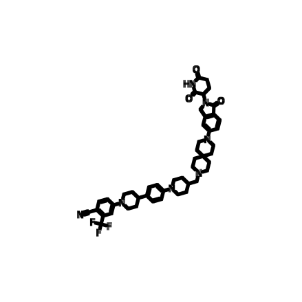 N#Cc1ccc(N2CCC(c3ccc(N4CCC(CN5CCC6(CC5)CCN(c5ccc7c(c5)CN(C5CCC(=O)NC5=O)C7=O)CC6)CC4)cc3)CC2)cc1C(F)(F)F